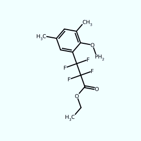 CCOC(=O)C(F)(F)C(F)(F)c1cc(C)cc(C)c1OP